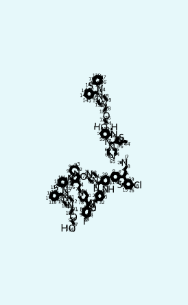 CN(C)CC/C=C1\c2ccccc2Sc2ccc(Cl)cc21.CN1CCN(C2=Nc3cc(Cl)ccc3Nc3ccccc32)CC1.Cc1cc2c(s1)Nc1ccccc1N=C2N1CCN(C)CC1.Cc1nc2n(c(=O)c1CCN1CCC(c3noc4cc(F)ccc34)CC1)CCCC2.OCCOCCN1CCN(C2=Nc3ccccc3Sc3ccccc32)CC1.OCCOCCN1CCN(C2=Nc3ccccc3Sc3ccccc32)CC1